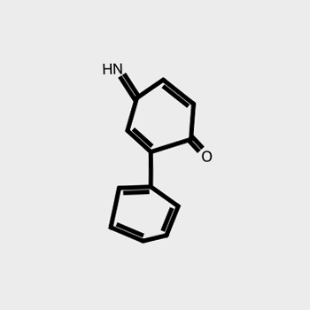 N=C1C=CC(=O)C(c2ccccc2)=C1